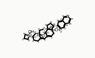 C[C@]12CC=C3C=C4CC[C@H]([N+]5(O)CCC5)C[C@]45CC[C@]3(O5)[C@@H]1CC[C@@H]2c1ccc2ccncc2c1